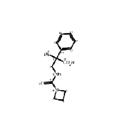 CC(C)C(CNC(=O)N1CCC1)(C(=O)O)c1ccccc1